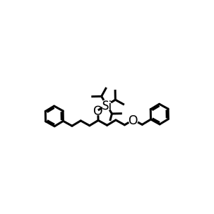 CC(C)[Si](OC(CCCOCc1ccccc1)CCCc1ccccc1)(C(C)C)C(C)C